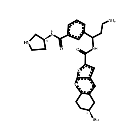 CC(C)(C)[C@H]1CCc2nc3sc(C(=O)NC(CCN)c4cccc(C(=O)N[C@H]5CCNC5)c4)cc3cc2C1